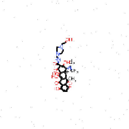 CN(C)[C@@H]1C(O)=C(C(=O)NCN2CCN(CCO)CC2)C(=O)[C@@]2(O)C(O)=C3C(=O)c4c(O)cccc4[C@@](C)(O)C3C[C@@H]12